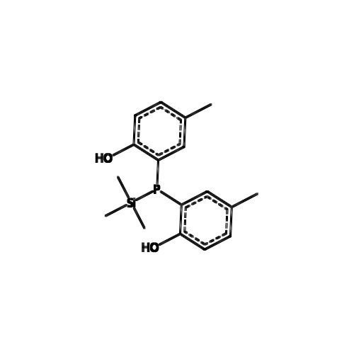 Cc1ccc(O)c(P(c2cc(C)ccc2O)[Si](C)(C)C)c1